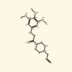 C=CCN1CCN(C(=O)CCc2cc(OC)c(OC)c(OC)c2)CC1